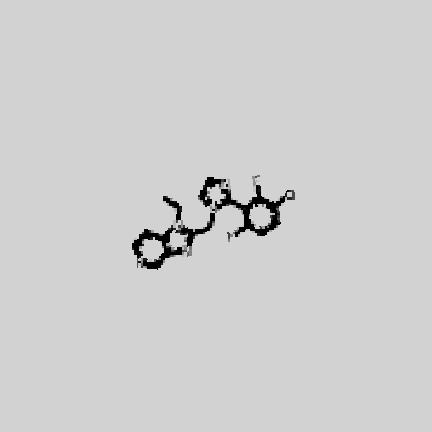 CCn1c(Cn2ccnc2-c2c(F)ccc(Cl)c2F)nc2cnccc21